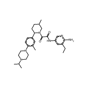 CCc1cc(NC(=O)C(=O)N2CC(C)CCC2c2ccc(N3CCN(C(C)C)CC3)c(C)c2)cnc1N